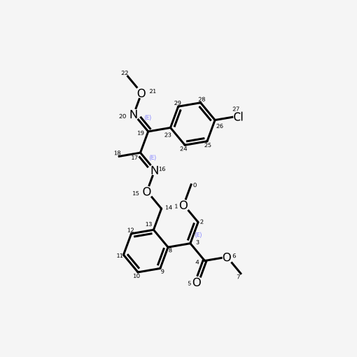 CO/C=C(/C(=O)OC)c1ccccc1CO/N=C(C)/C(=N/OC)c1ccc(Cl)cc1